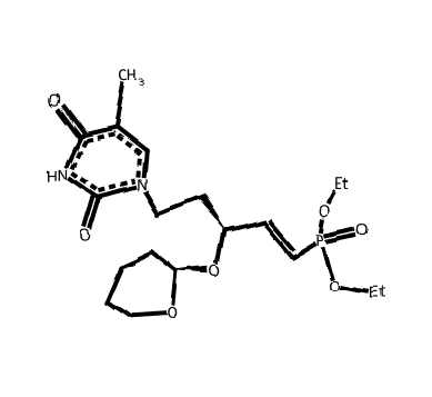 CCOP(=O)(/C=C/[C@H](CCn1cc(C)c(=O)[nH]c1=O)O[C@@H]1CCCCO1)OCC